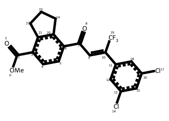 COC(=O)c1ccc(C(=O)/C=C(/c2cc(Cl)cc(Cl)c2)C(F)(F)F)c2c1CCC2